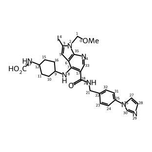 COCn1c(I)cc2c(NC3CCC(NC(=O)O)CC3)c(C(=O)NCc3ccc(-n4ccnc4)cc3)cnc21